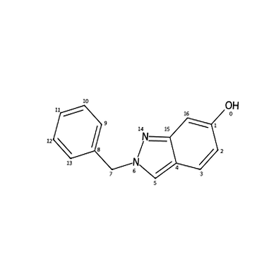 Oc1ccc2cn(Cc3ccccc3)nc2c1